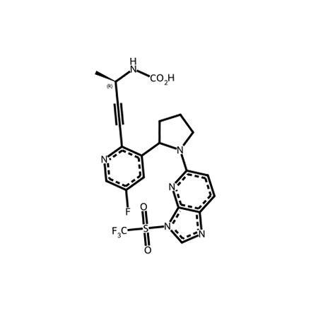 C[C@H](C#Cc1ncc(F)cc1C1CCCN1c1ccc2ncn(S(=O)(=O)C(F)(F)F)c2n1)NC(=O)O